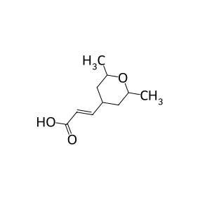 CC1CC(C=CC(=O)O)CC(C)O1